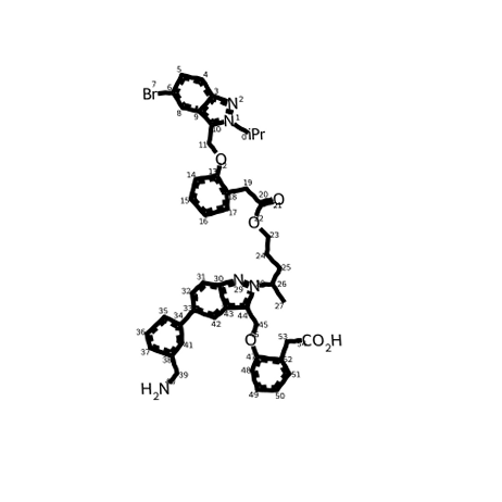 CC(C)n1nc2ccc(Br)cc2c1COc1ccccc1CC(=O)OCCCC(C)n1nc2ccc(-c3cccc(CN)c3)cc2c1COc1ccccc1CC(=O)O